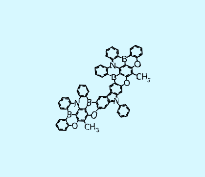 Cc1c2c3c4c5c1Oc1cc6c(cc1B5c1ccccc1N4c1ccccc1B3c1ccccc1O2)c1cc2c(cc1n6-c1ccccc1)Oc1c(C)c3c4c5c1B2c1ccccc1N5c1ccccc1B4c1ccccc1O3